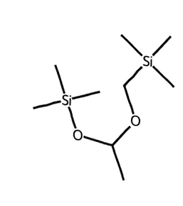 CC(OC[Si](C)(C)C)O[Si](C)(C)C